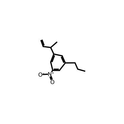 C=C[C](C)c1cc(CCC)cc([N+](=O)[O-])c1